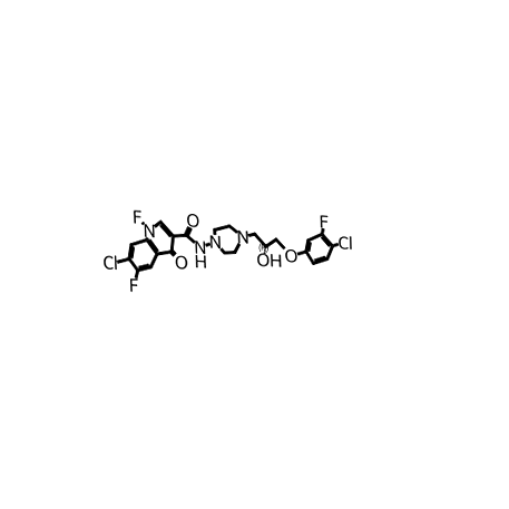 O=C(NN1CCN(C[C@@H](O)COc2ccc(Cl)c(F)c2)CC1)c1cn(F)c2cc(Cl)c(F)cc2c1=O